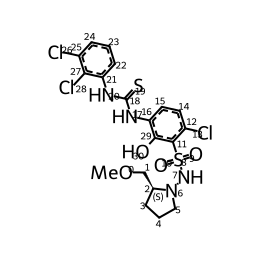 COC[C@@H]1CCCN1NS(=O)(=O)c1c(Cl)ccc(NC(=S)Nc2cccc(Cl)c2Cl)c1O